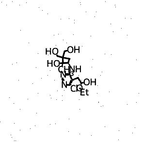 CCOC(O)Cc1c(Cl)ncnc1N[C@@H]1CC(CO)(CO)[C@@]1(C)O